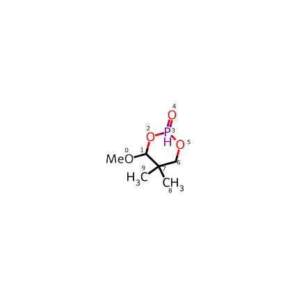 COC1O[PH](=O)OCC1(C)C